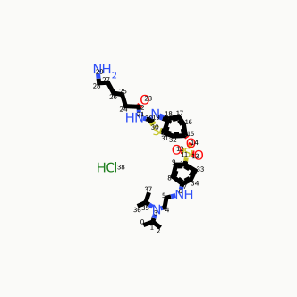 CC(C)N(CCNc1ccc(S(=O)(=O)Oc2ccc3nc(NC(=O)CCCCCN)sc3c2)cc1)C(C)C.Cl